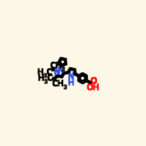 CC(C)C1CC(C2CCC(c3ccc(C(=O)O)cc3)N2)N(C2CCCC2)N1C(C)C